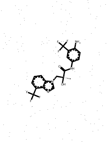 C[C@](O)(Cn1cnc2c(C(F)(F)F)cccc21)C(=O)Nc1ccc(N)c(C(F)(F)F)c1